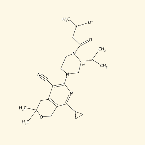 CC(C)[C@@H]1CN(c2nc(C3CC3)c3c(c2C#N)CC(C)(C)OC3)CCN1C(=O)C[S+](C)[O-]